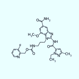 CCn1nc(C)cc1C(=O)Nc1nc2cc(C(N)=O)cc(OC)c2n1CCCNC(=O)OCc1ncccc1F